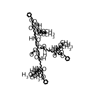 CC(C)(C)OC(=O)NC(=O)NC(CCCCNC(=O)COCC(OCC=O)C(COCC(=O)NCCCCC(NC(O)NC(=O)OC(C)(C)C)C(=O)NCC(=O)OCc1ccccc1)OCC(=O)NCCCCC(NC(=O)NC(=O)OC(C)(C)C)C(=O)NCC(=O)OCc1ccccc1)C(=O)NCC(=O)OCc1ccccc1